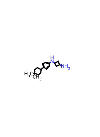 CC1(C)CCC(c2ccc(NC3CC(N)C3)cc2)CC1